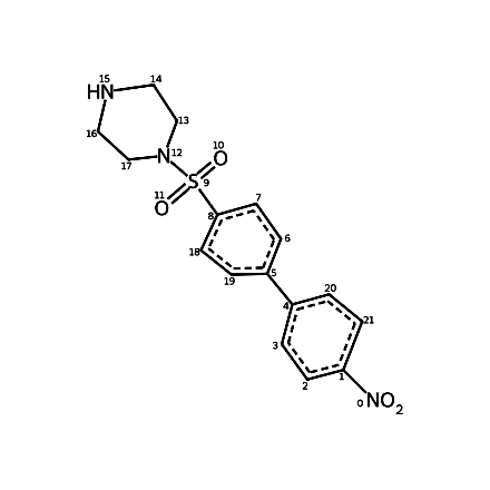 O=[N+]([O-])c1ccc(-c2ccc(S(=O)(=O)N3CCNCC3)cc2)cc1